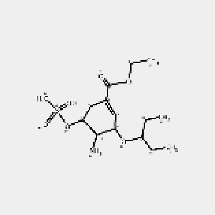 CCOC(=O)C1=CC(OC(CC)CC)C(N)C(OS(C)(=O)=O)C1